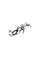 CC(C)c1cc(Oc2c(Cl)c(F)nc(OCC(N)=O)c2Cl)ccc1O